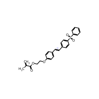 C=C(C)C(=O)OCCOc1ccc(/C=C/c2ccc(S(=O)(=O)c3ccccc3)cc2)cc1